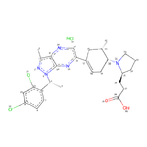 Cc1nn([C@H](C)c2ccc(Cl)cc2Cl)c2nc(C3=CC[C@@H](N4CCC[C@H]4CCC(=O)O)[C@@H](C)C3)cnc12.Cl